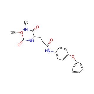 CCNC(=O)C(CCC(=O)Nc1ccc(Oc2ccccc2)cc1)NC(=O)OC(C)(C)C